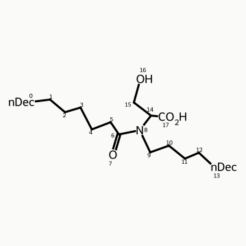 CCCCCCCCCCCCCCCC(=O)N(CCCCCCCCCCCCCC)C(CO)C(=O)O